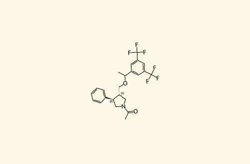 CC(=O)N1C[C@@H](COC(C)c2cc(C(F)(F)F)cc(C(F)(F)F)c2)[C@H](c2ccccc2)C1